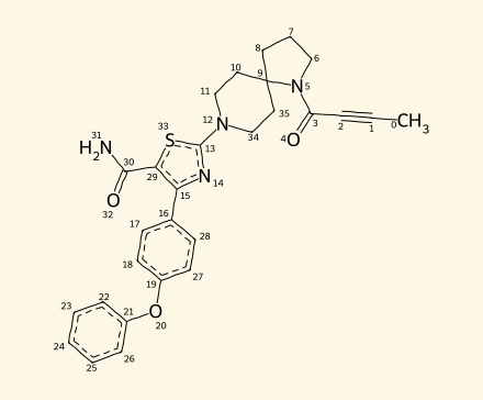 CC#CC(=O)N1CCCC12CCN(c1nc(-c3ccc(Oc4ccccc4)cc3)c(C(N)=O)s1)CC2